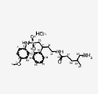 COc1ccc(NS(=O)(=O)CC(CCNC(=O)CCC(C)CN)c2ccccc2)cc1.Cl